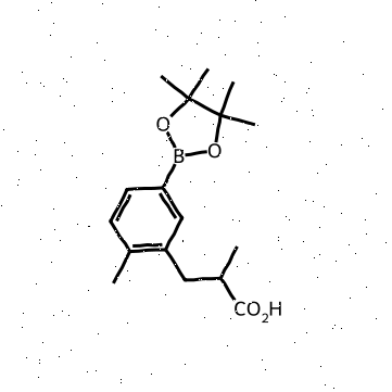 Cc1ccc(B2OC(C)(C)C(C)(C)O2)cc1CC(C)C(=O)O